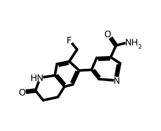 NC(=O)c1cncc(-c2cc3c(cc2CF)NC(=O)CC3)c1